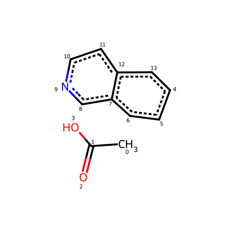 CC(=O)O.c1ccc2cnccc2c1